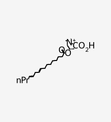 CCCC=CCC=CCCCCCCCC(=O)O[C@H](CC(=O)O)C[N+](C)(C)C